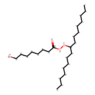 CCCCCCCCC(CCCCCCCC)OOC(=O)CCCCCCCBr